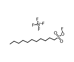 CCCCCCCCCCCS(=O)(=O)OF.F[N+](F)(F)F